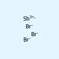 [Br-].[Br-].[Br-].[Sb+3]